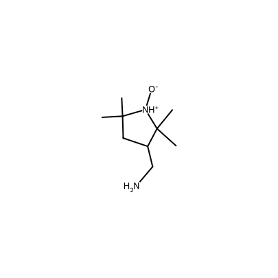 CC1(C)CC(CN)C(C)(C)[NH+]1[O-]